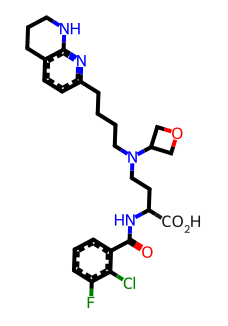 O=C(NC(CCN(CCCCc1ccc2c(n1)NCCC2)C1COC1)C(=O)O)c1cccc(F)c1Cl